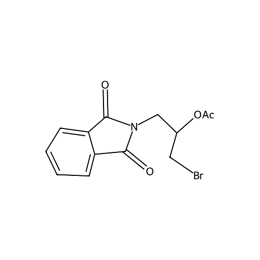 CC(=O)OC(CBr)CN1C(=O)c2ccccc2C1=O